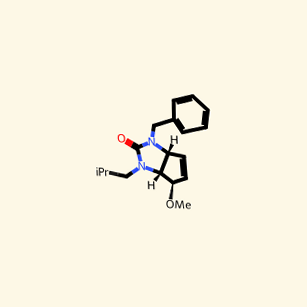 CO[C@@H]1C=C[C@@H]2[C@H]1N(CC(C)C)C(=O)N2Cc1ccccc1